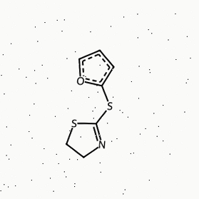 c1coc(SC2=NCCS2)c1